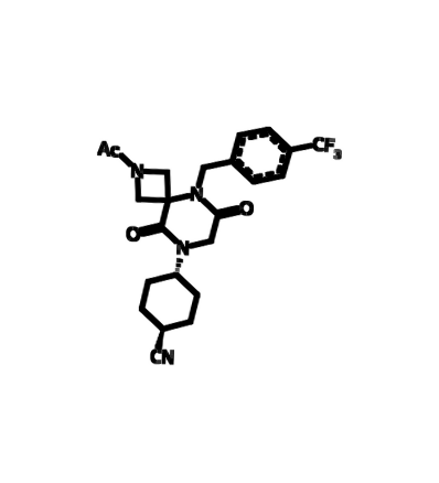 CC(=O)N1CC2(C1)C(=O)N([C@H]1CC[C@H](C#N)CC1)CC(=O)N2Cc1ccc(C(F)(F)F)cc1